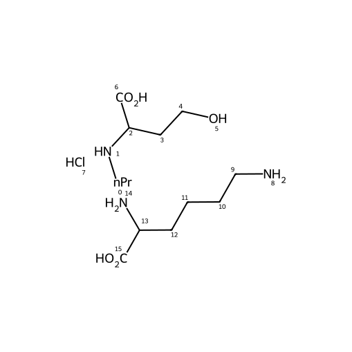 CCCNC(CCO)C(=O)O.Cl.NCCCCC(N)C(=O)O